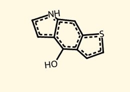 Oc1c2cc[nH]c2cc2sccc12